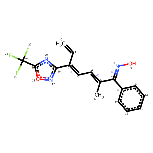 C=C\C(=C/C=C(C)/C(=N/O)c1ccccc1)c1noc(C(F)(F)F)n1